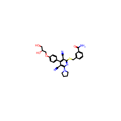 N#Cc1c(SCc2cccc(C(N)=O)c2)nc(N2CCCC2)c(C#N)c1-c1ccc(OC[C@@H](O)CO)cc1